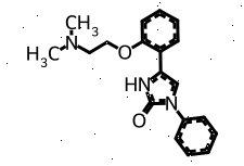 CN(C)CCOc1ccccc1-c1cn(-c2ccccc2)c(=O)[nH]1